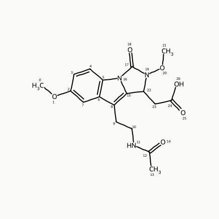 COc1ccc2c(c1)c(CCNC(C)=O)c1n2C(=O)N(OC)C1CC(=O)O